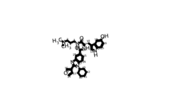 CN(C)CCCNC(=O)[C@H](Cc1c[nH]c2ccc(O)cc12)NC(=O)c1ccc2c(c1)nc(-c1ccoc1)n2C1CCCCC1